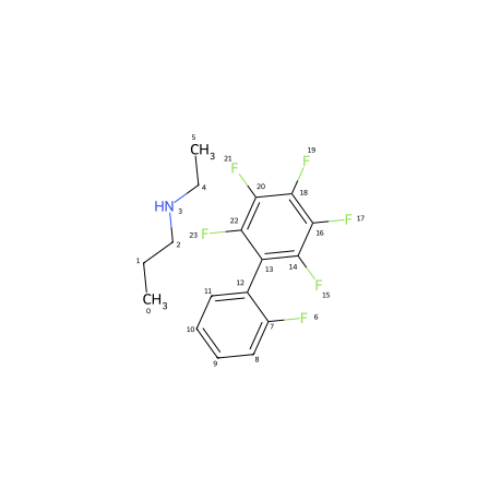 CCCNCC.Fc1ccccc1-c1c(F)c(F)c(F)c(F)c1F